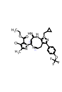 CCOC(=O)c1c(Cl)c(C)nn1C1=C/C(=N)Nc2c(c(-c3ccc(OC(F)(F)F)cc3)nn2CC2CC2)C/C=N\1